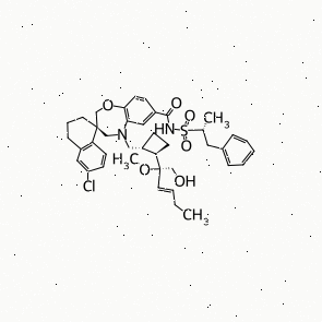 CC/C=C/[C@@](CO)(OC)[C@@H]1CC[C@H]1CN1C[C@@]2(CCCc3cc(Cl)ccc32)COc2ccc(C(=O)NS(=O)(=O)[C@H](C)Cc3ccccc3)cc21